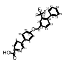 O=C(O)c1ccc(-c2ccc(OCc3ccc(-c4ccccc4)c(C(F)(F)F)c3)cc2)cn1